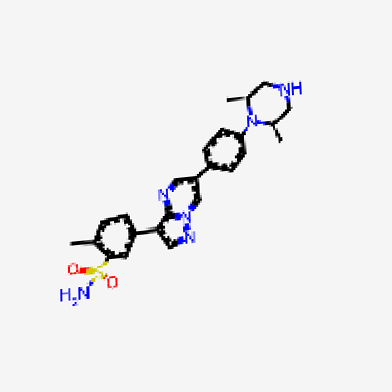 Cc1ccc(-c2cnn3cc(-c4ccc(N5[C@H](C)CNC[C@@H]5C)cc4)cnc23)cc1S(N)(=O)=O